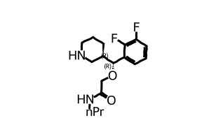 CCCNC(=O)CO[C@@H](c1cccc(F)c1F)[C@@H]1CCCNC1